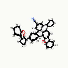 N#Cc1cc(-c2ccccc2)cc(-c2cc(-c3cccc4c3oc3ccccc34)ccc2-c2cccc3c2oc2ccccc23)c1